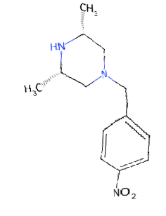 C[C@@H]1CN(Cc2ccc([N+](=O)[O-])cc2)C[C@H](C)N1